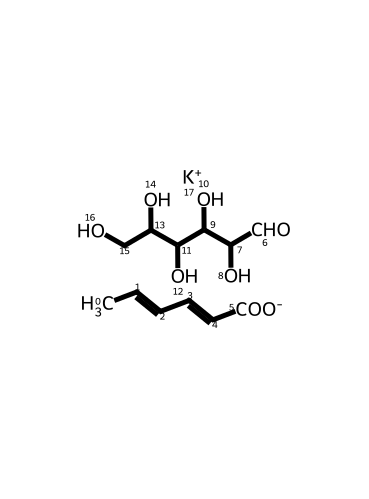 C/C=C/C=C/C(=O)[O-].O=CC(O)C(O)C(O)C(O)CO.[K+]